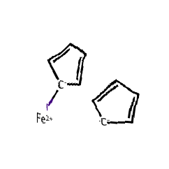 I[c-]1cccc1.[C-]1C=CC=C1.[Fe+2]